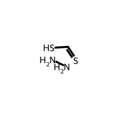 NN.S=CS